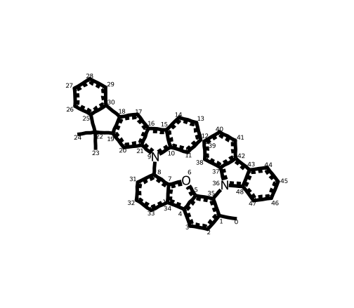 Cc1ccc2c(oc3c(-n4c5ccccc5c5cc6c(cc54)C(C)(C)c4ccccc4-6)cccc32)c1-n1c2ccccc2c2ccccc21